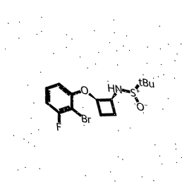 CC(C)(C)[S+]([O-])N[C@H]1CC[C@H]1Oc1cccc(F)c1Br